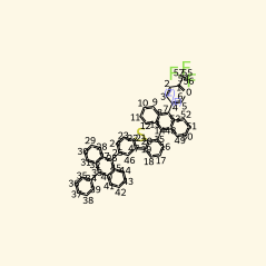 C=C(/C=C\C(=C/C)c1c2ccccc2c(-c2cccc3c2sc2ccc(-c4c5ccccc5c(-c5ccccc5)c5ccccc45)cc23)c2ccccc12)C(F)(F)F